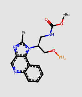 CCc1nc2cnc3ccccc3c2n1[C@@H](CNC(=O)OC(C)(C)C)COP